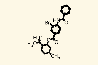 CC1CCC(C(C)C)C(OC(=O)c2ccc(NC(=O)c3ccccc3)c(Br)c2)C1